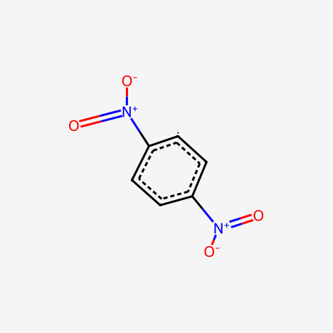 O=[N+]([O-])c1[c]cc([N+](=O)[O-])cc1